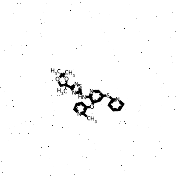 Cc1ncccc1Oc1cc(Sc2ccccn2)cnc1Nc1nc([C@@]2(C)COC(C)(C)O2)ns1